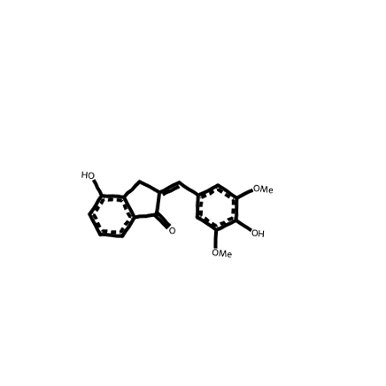 COc1cc(C=C2Cc3c(O)cccc3C2=O)cc(OC)c1O